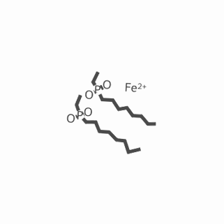 CCCCCCCCP(=O)([O-])CC.CCCCCCCCP(=O)([O-])CC.[Fe+2]